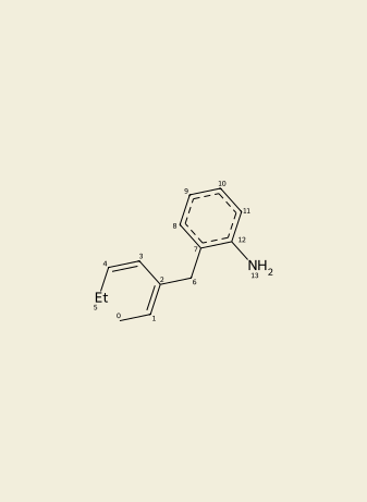 C/C=C(\C=C/CC)Cc1ccccc1N